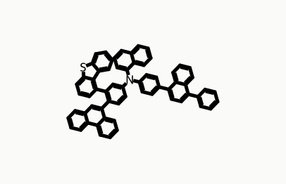 c1ccc(-c2ccc(-c3ccc(N(c4ccc(-c5cc6ccccc6c6ccccc56)c(-c5cccc6sc7ccccc7c56)c4)c4cccc5ccccc45)cc3)c3ccccc23)cc1